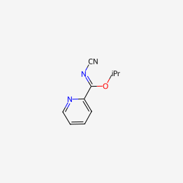 CC(C)O/C(=N\C#N)c1ccccn1